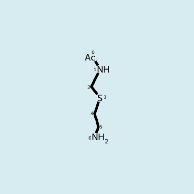 CC(=O)NCSCCN